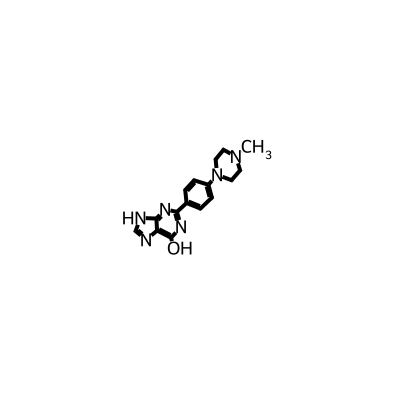 CN1CCN(c2ccc(-c3nc(O)c4nc[nH]c4n3)cc2)CC1